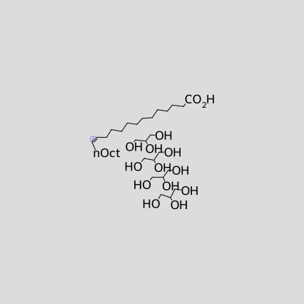 CCCCCCCC/C=C\CCCCCCCCCCCC(=O)O.OCC(O)CO.OCC(O)CO.OCC(O)CO.OCC(O)CO